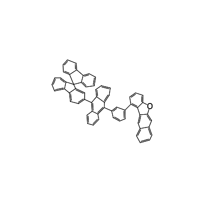 c1cc(-c2c3ccccc3c(-c3ccc4c(c3)C3(c5ccccc5-c5ccccc53)c3ccccc3-4)c3ccccc23)cc(-c2cccc3oc4cc5ccccc5cc4c23)c1